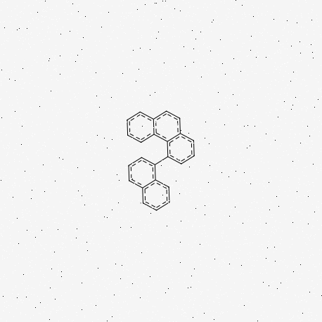 [c]1cccc2c(-c3cccc4ccc5ccccc5c34)cccc12